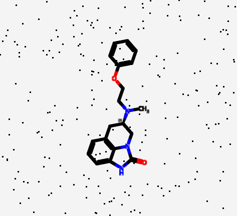 CN(CCOc1ccccc1)[C@@H]1Cc2cccc3[nH]c(=O)n(c23)C1